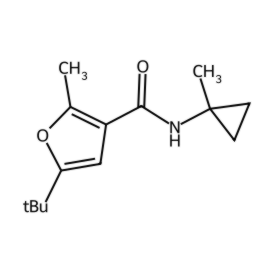 Cc1oc(C(C)(C)C)cc1C(=O)NC1(C)CC1